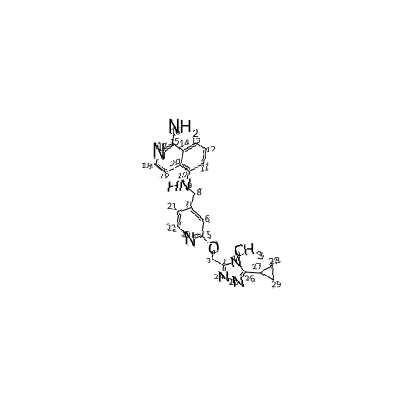 Cn1c(COc2cc(CNc3cccc4c(N)nccc34)ccn2)nnc1C1CC1